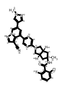 Cn1cc(-c2cc(-c3cnc(N4C[C@@H]5C[C@@](C)(NC(=O)c6c(F)cccc6Cl)C[C@@H]5C4)cn3)c3c(C#N)cnn3c2)cn1